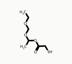 CCOCOC(C)OC(=O)CS